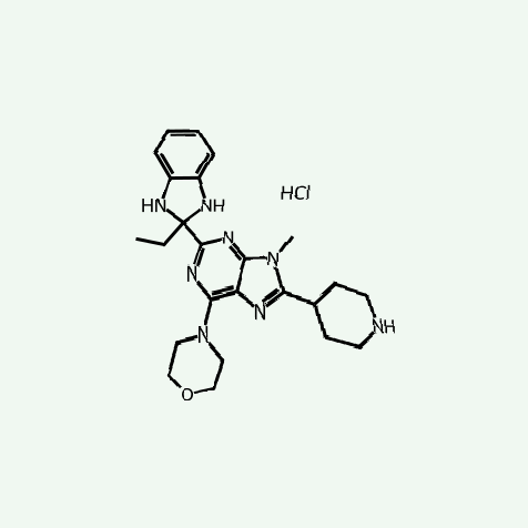 CCC1(c2nc(N3CCOCC3)c3nc(C4CCNCC4)n(C)c3n2)Nc2ccccc2N1.Cl